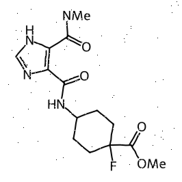 CNC(=O)c1[nH]cnc1C(=O)NC1CCC(F)(C(=O)OC)CC1